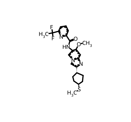 COc1cc2nc([C@H]3CC[C@H](SC)CC3)cn2cc1NC(=O)c1cccc(C(C)(F)F)n1